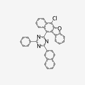 Clc1c2ccccc2c(-c2nc(-c3ccccc3)nc(-c3ccc4ccccc4c3)n2)c2c1oc1ccccc12